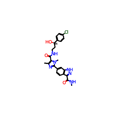 CNC(=O)c1n[nH]c2cc(-c3nc(C)c(C(=O)NCC[C@@H](O)c4ccc(Cl)cc4)n3C)ccc12